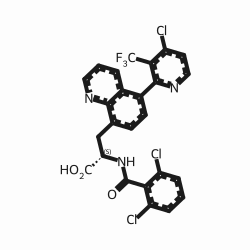 O=C(N[C@@H](Cc1ccc(-c2nccc(Cl)c2C(F)(F)F)c2cccnc12)C(=O)O)c1c(Cl)cccc1Cl